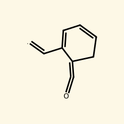 [CH]=CC1=CC=CCC1=C=O